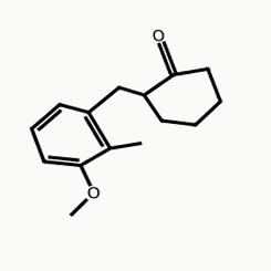 COc1cccc(CC2CCCCC2=O)c1C